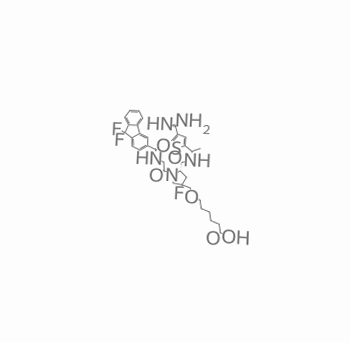 CC(NC(=O)[C@@H]1C[C@](F)(COCCCCCC(=O)O)CN1C(=O)CNC(=O)c1ccc2c(c1)-c1ccccc1C2(F)F)c1cc(C(=N)N)cs1